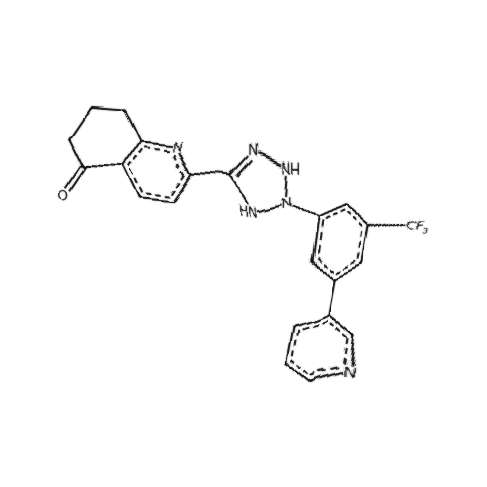 O=C1CCCc2nc(C3=NNN(c4cc(-c5cccnc5)cc(C(F)(F)F)c4)N3)ccc21